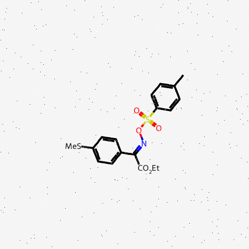 CCOC(=O)/C(=N/OS(=O)(=O)c1ccc(C)cc1)c1ccc(SC)cc1